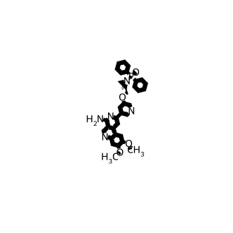 COc1cc2ncc3c(N)nc(-c4cncc(OC[C@H]5CN5P(=O)(c5ccccc5)c5ccccc5)c4)cc3c2cc1OC